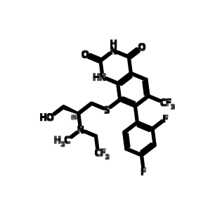 CN(CC(F)(F)F)[C@@H](CO)CSc1c(-c2ccc(F)cc2F)c(C(F)(F)F)cc2c(=O)[nH]c(=O)[nH]c12